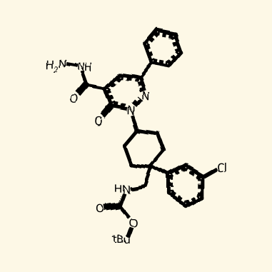 CC(C)(C)OC(=O)NCC1(c2cccc(Cl)c2)CCC(n2nc(-c3ccccc3)cc(C(=O)NN)c2=O)CC1